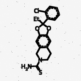 CCC1(c2ccccc2Cl)Oc2cc3c(cc2O1)CN(C(N)=S)CC3